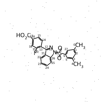 Cc1cc(C)cc(S(=O)(=O)n2nc(-c3ccc(C(=O)O)cc3F)c3ccccc32)c1